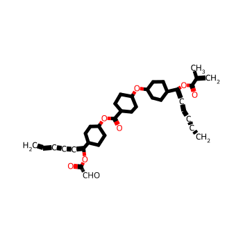 C=C=C=C=C=C(OC(=O)C=O)C1CCC(OC(=O)C2CCC(OC3CCC(C(=C=C=C=C=C)OC(=O)C(=C)C)CC3)CC2)CC1